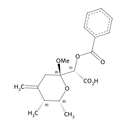 C=C1C[C@](OC)([C@H](OC(=O)c2ccccc2)C(=O)O)O[C@H](C)[C@@H]1C